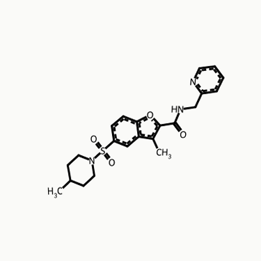 Cc1c(C(=O)NCc2ccccn2)oc2ccc(S(=O)(=O)N3CCC(C)CC3)cc12